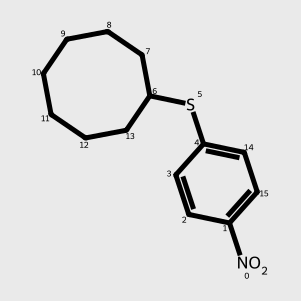 O=[N+]([O-])c1ccc(SC2CCCCCCC2)cc1